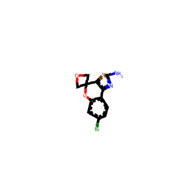 Nc1nc2c(s1)C1(COC1)Oc1cc(Br)ccc1-2